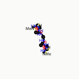 CN[C@@H](C)C(=S)N[C@H]1CCS[C@H]2CC(C)(C)[C@@H](C(=O)N[C@H]3c4ccccc4CC3C(=O)NCc3ccc(CNC(=O)[C@@H]4Cc5ccccc5[C@@H]4NC(=O)[C@H]4N5C(=O)[C@@H](NC(=S)[C@H](C)NC)CCS[C@H]5CC4(C)C)cc3)N2C1=O